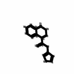 O=C(Cc1ccsc1)N1CCOc2ccccc21